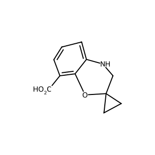 O=C(O)c1cccc2c1OC1(CC1)CN2